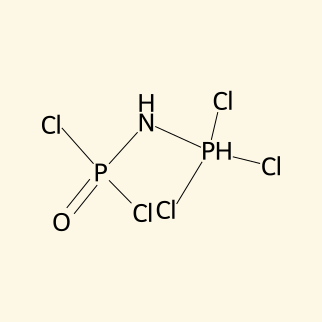 O=P(Cl)(Cl)N[PH](Cl)(Cl)Cl